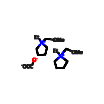 CC[N+]1(COC)CCCC1.CC[N+]1(COC)CCCC1.O=C([O-])[O-]